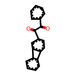 O=C(C(=O)c1ccc2c(c1)-c1ccccc1-2)c1ccccc1